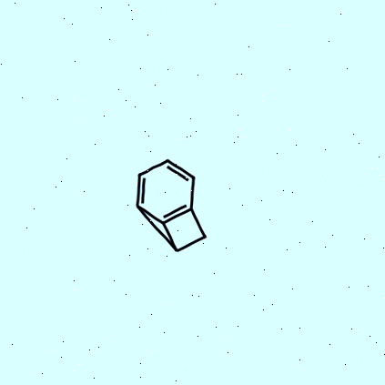 c1cc2c3c(c1)C3C2